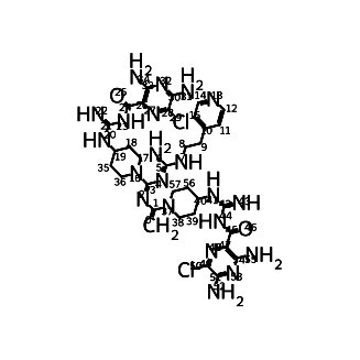 C=C(/N=C(\N=C(/N)NCCc1ccncc1)N1CCC(NC(=N)NC(=O)c2nc(Cl)c(N)nc2N)CC1)N1CCC(NC(=N)NC(=O)c2nc(Cl)c(N)nc2N)CC1